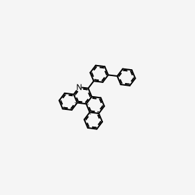 c1ccc(-c2cccc(-c3nc4ccccc4c4c3ccc3ccccc34)c2)cc1